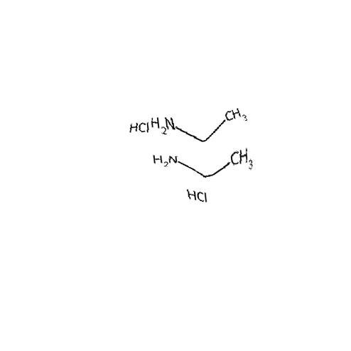 CCN.CCN.Cl.Cl